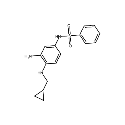 Nc1cc(NS(=O)(=O)c2ccccc2)ccc1NCC1CC1